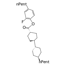 CCCCCc1ccc(OC(=O)[C@H]2CC[C@H]([C@H]3CC[C@H](CCCCC)CC3)CC2)c(F)c1